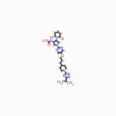 CC(C)c1noc(N2CCC(CCCOc3cnc(N4C[C@H](NC(=O)O)[C@@H](N5CCCCC5=O)C4)nc3)CC2)n1